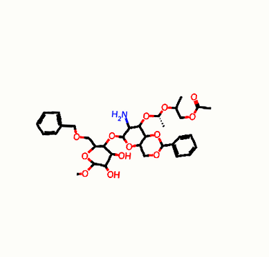 COC1OC(COCc2ccccc2)C(OC2OC3COC(c4ccccc4)OC3C(O[C@@H](C)OC(C)COC(C)=O)C2N)C(O)C1O